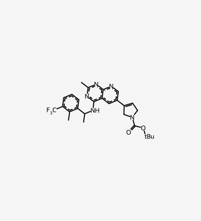 Cc1nc(NC(C)c2cccc(C(F)(F)F)c2C)c2cc(C3=CCN(C(=O)OC(C)(C)C)C3)cnc2n1